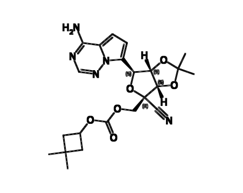 CC1(C)CC(OC(=O)OC[C@@]2(C#N)O[C@@H](c3ccc4c(N)ncnn34)[C@@H]3OC(C)(C)O[C@@H]32)C1